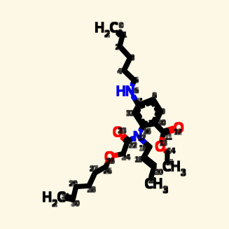 C=CCCCCNc1ccc(C(=O)OCC)c(N(CC=CC)C(=O)COCCCCC=C)c1